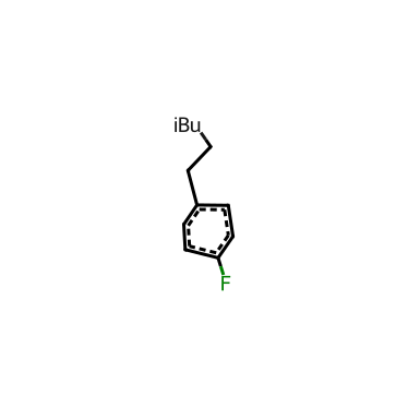 CCC(C)CCc1ccc(F)cc1